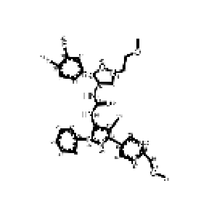 COCCN1C[C@@H](NC(=O)Nc2c(C)c(-c3cnc(COC)nc3)nn2-c2ccccc2)[C@H](c2ccc(F)c(F)c2)O1